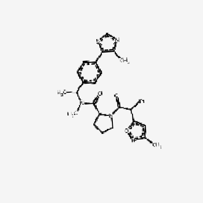 Cc1cc(C(C(=O)N2CCC[C@H]2C(=O)N(C)[C@@H](C)c2ccc(-c3scnc3C)cc2)C(C)C)on1